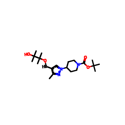 Cc1nn(C2CCN(C(=O)OC(C)(C)C)CC2)cc1BOC(C)(C)C(C)(C)O